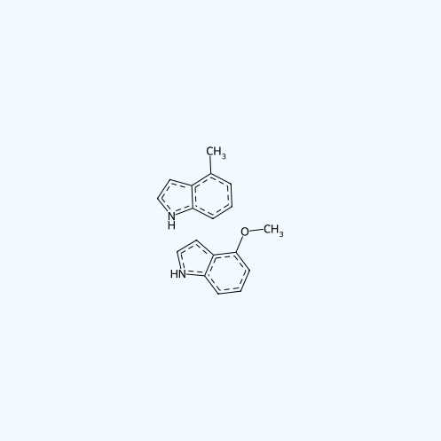 COc1cccc2[nH]ccc12.Cc1cccc2[nH]ccc12